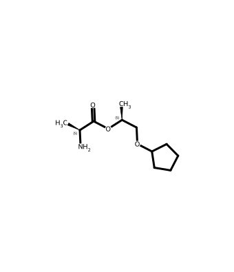 C[C@H](N)C(=O)O[C@@H](C)COC1CCCC1